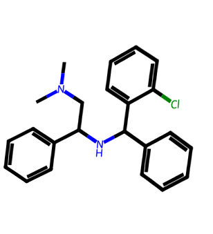 CN(C)CC(NC(c1ccccc1)c1ccccc1Cl)c1ccccc1